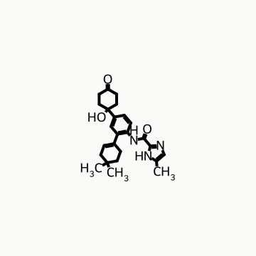 Cc1cnc(C(=O)Nc2ccc(C3(O)CCC(=O)CC3)cc2C2=CCC(C)(C)CC2)[nH]1